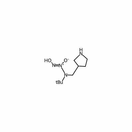 CC(C)(C)N(CC1CCNC1)[N+]([O-])=NO